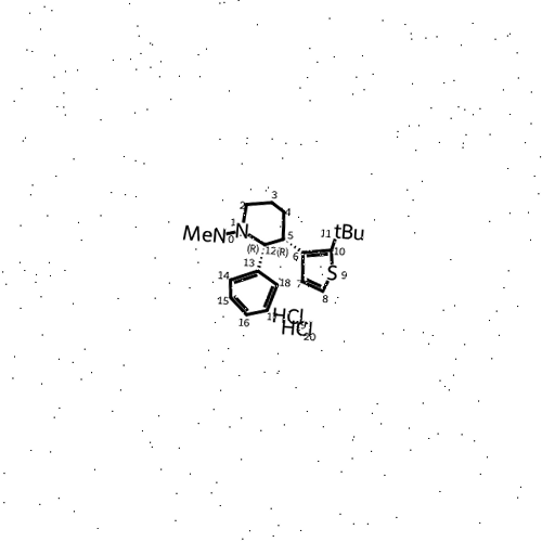 CNN1CCC[C@H](c2ccsc2C(C)(C)C)[C@@H]1c1ccccc1.Cl.Cl